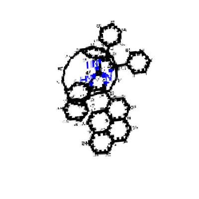 c1ccc(-c2nc(-c3cc4ccc3CCCc3ccc(cc3-c3nc(-c5ccc6ccc7cccc8ccc5c6c78)c(-c5ccccc5)[nH]3)CCC4)[nH]c2-c2ccccc2)cc1